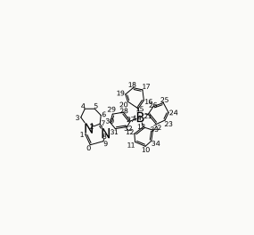 C1=CN2CCCCC2=NC1.c1ccc([B-](c2ccccc2)(c2ccccc2)c2ccccc2)cc1